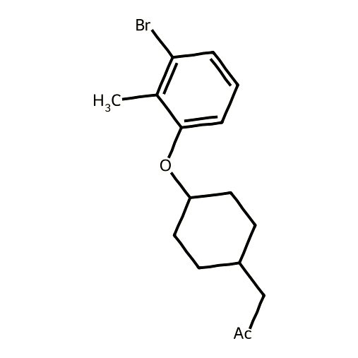 CC(=O)CC1CCC(Oc2cccc(Br)c2C)CC1